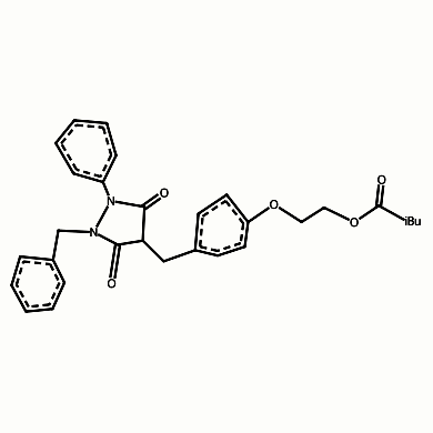 CCC(C)C(=O)OCCOc1ccc(CC2C(=O)N(Cc3ccccc3)N(c3ccccc3)C2=O)cc1